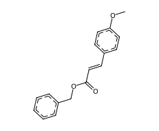 COc1ccc(C=CC(=O)OCc2ccccc2)cc1